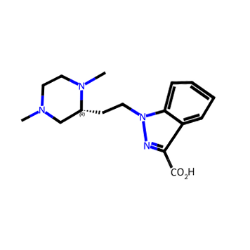 CN1CCN(C)[C@H](CCn2nc(C(=O)O)c3ccccc32)C1